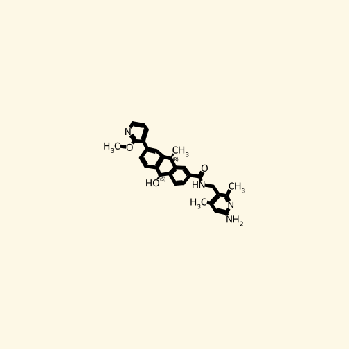 COc1ncccc1-c1ccc2c(c1)[C@@H](C)c1cc(C(=O)NCc3c(C)cc(N)nc3C)ccc1[C@H]2O